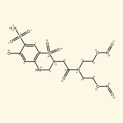 NS(=O)(=O)c1cc2c(cc1Cl)NCN(CC(=O)N(CCON=O)CCON=O)S2(=O)=O